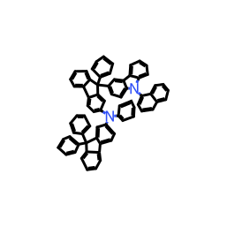 c1ccc(N(c2ccc3c(c2)C(c2ccccc2)(c2ccccc2)c2ccccc2-3)c2ccc3c(c2)C(c2ccccc2)(c2ccc4c(c2)c2ccccc2n4-c2cccc4ccccc24)c2ccccc2-3)cc1